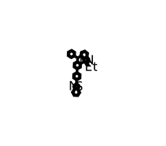 CCc1nc2cccc3c2n1-c1cc(-c2ccc(-c4nc5ccccc5s4)cc2)ccc1C3c1ccccc1